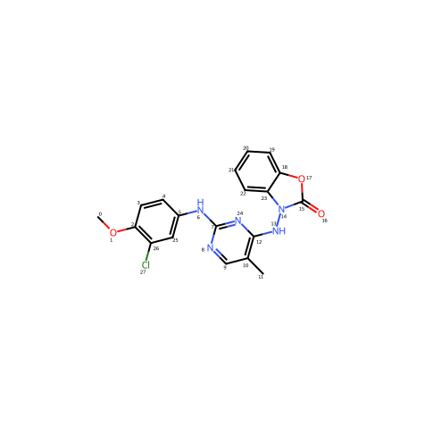 COc1ccc(Nc2ncc(C)c(Nn3c(=O)oc4ccccc43)n2)cc1Cl